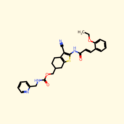 CCOc1ccccc1C=CC(=O)Nc1sc2c(c1C#N)CCC(COC(=O)NCc1ccccn1)C2